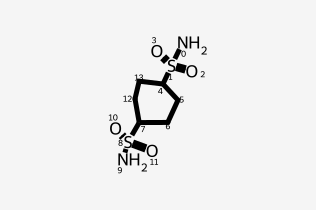 NS(=O)(=O)C1CCC(S(N)(=O)=O)CC1